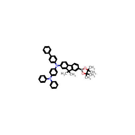 CC1(C)c2cc(B3OC(C)(C)C(C)(C)O3)ccc2-c2ccc(N(c3ccc(-c4ccccc4)cc3)c3ccc(N(c4ccccc4)c4ccccc4)cc3)cc21